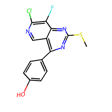 CSc1nc(-c2ccc(O)cc2)c2cnc(Cl)c(F)c2n1